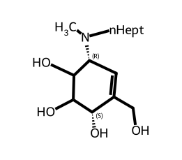 CCCCCCCN(C)[C@@H]1C=C(CO)[C@H](O)C(O)C1O